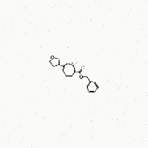 C[C@H]1CN(C2CCOC2)CCCN1C(=O)OCc1ccccc1